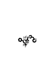 O=C(c1cnn2c1NC(c1ccccc1)CC2C(F)(F)F)N1CCC(Cc2ccccn2)C1